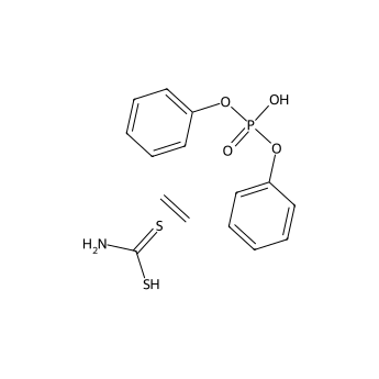 C=C.NC(=S)S.O=P(O)(Oc1ccccc1)Oc1ccccc1